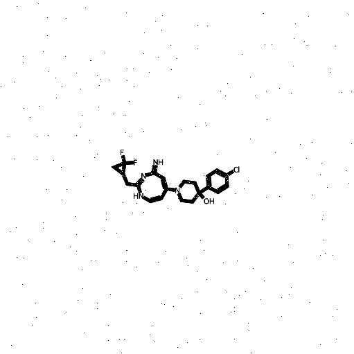 N=C1/C=C(N2CCC(O)(c3ccc(Cl)cc3)CC2)\C=C/N/C(CC2CC2(F)F)=N\1